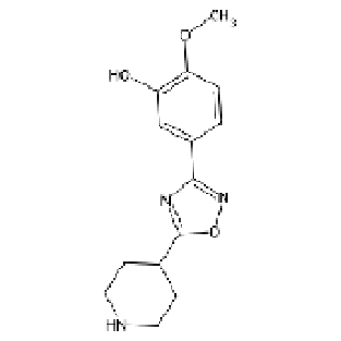 COc1ccc(-c2noc(C3CCNCC3)n2)cc1O